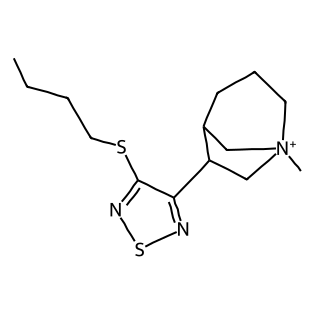 CCCCSc1nsnc1C1C[N+]2(C)CCCC1C2